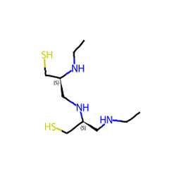 CCNC[C@@H](CS)NC[C@@H](CS)NCC